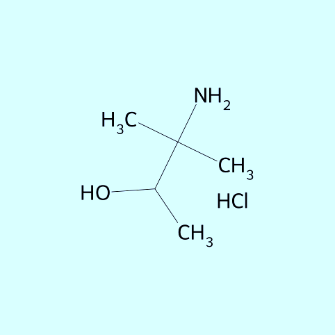 CC(O)C(C)(C)N.Cl